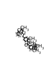 CCCC(CCc1ccc(NC(=O)c2ccc(C)c(S(C)(=O)=O)c2)c(C)c1)N1CCCC1C